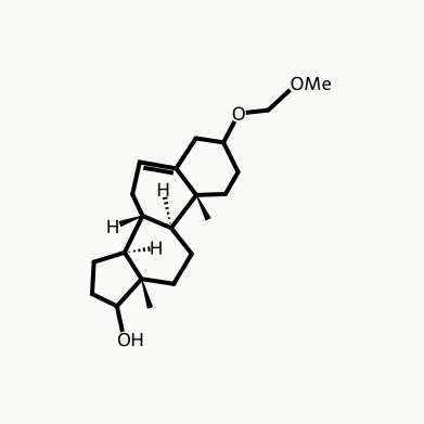 COCOC1CC[C@@]2(C)C(=CC[C@@H]3[C@@H]2CC[C@]2(C)C(O)CC[C@@H]32)C1